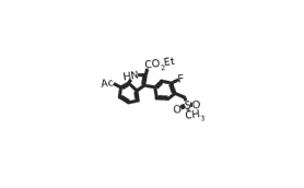 CCOC(=O)c1[nH]c2c(C(C)=O)cccc2c1-c1ccc(CS(C)(=O)=O)c(F)c1